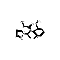 Cc1cccc(OC(F)(F)F)c1N(C(=O)CCl)C(C)n1cccn1